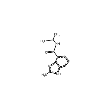 CC(C)NC(=O)c1cccc2[nH]c(N)nc12